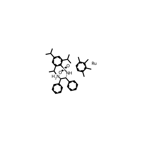 CC(C)c1cc(C(C)C)c(S(=O)(=O)N[C@H](c2ccccc2)[C@H](N)c2ccccc2)c(C(C)C)c1.Cc1ccc(C)c(C)c1C.[Ru]